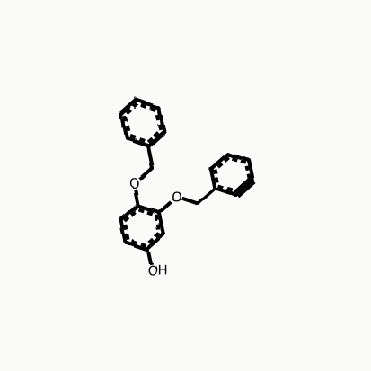 Oc1ccc(OCc2ccccc2)c(OCc2c#cccc2)c1